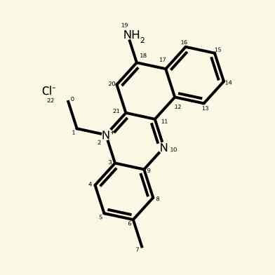 CC[n+]1c2ccc(C)cc2nc2c3ccccc3c(N)cc21.[Cl-]